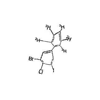 [2H]c1c([2H])c([2H])c(-c2cc(Br)c(Cl)c(I)c2)c([2H])c1[2H]